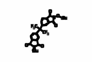 CC(C)(C)ON1C(=O)c2ccc(C(c3ccc4c(c3)C(=O)N(C(C)(C)C)C4=O)(C(F)(F)F)C(F)(F)F)cc2C1=O